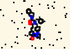 COc1ccc(C=CC(=O)N(Cc2ccc(-n3cccn3)cc2)[C@@H](Cc2ccccc2)C(=O)N2CCc3ccccc3C2)cn1